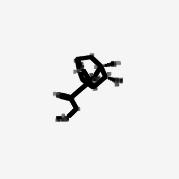 COCC(=O)N1CC2CC3N[C@@H](C2)[C@H](O)C31